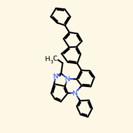 CCc1nc2cccc3c2n1-c1c(-c2ccc4cc(-c5ccccc5)ccc4c2)cccc1N3c1ccccc1